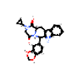 O=C1C2Cc3c([nH]c4ccccc34)C(c3ccc4c(c3)OCO4)N2C(=O)CN1C1CC1